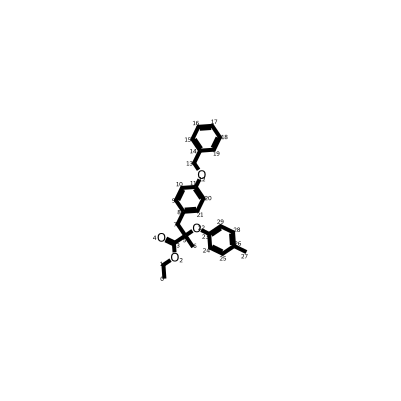 CCOC(=O)C(C)(Cc1ccc(OCc2ccccc2)cc1)Oc1ccc(C)cc1